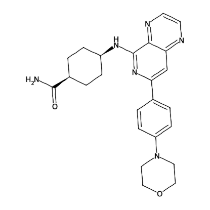 NC(=O)[C@H]1CC[C@@H](Nc2nc(-c3ccc(N4CCOCC4)cc3)cc3nccnc23)CC1